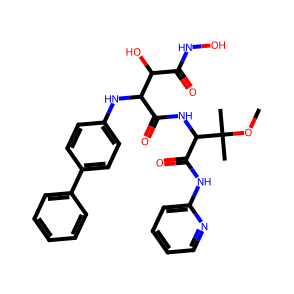 COC(C)(C)C(NC(=O)C(Nc1ccc(-c2ccccc2)cc1)C(O)C(=O)NO)C(=O)Nc1ccccn1